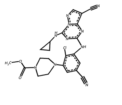 COC(=O)N1CCN(c2cc(C#N)cc(Nc3nc(NC4CC4)n4ncc(C#N)c4n3)c2Cl)CC1